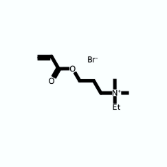 C=CC(=O)OCCC[N+](C)(C)CC.[Br-]